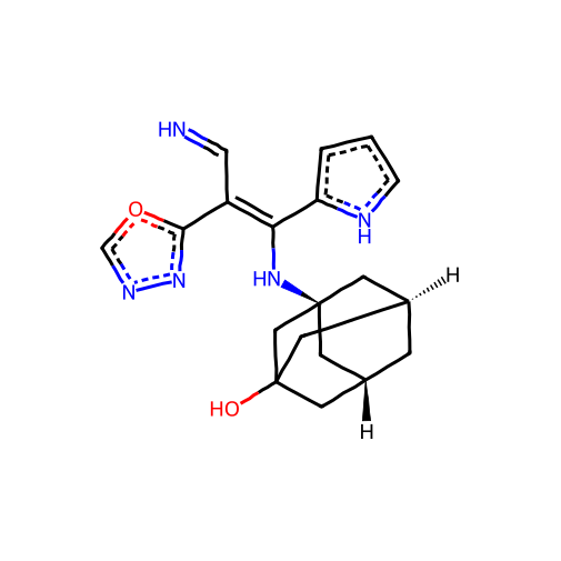 N=C/C(=C(/N[C@@]12C[C@@H]3C[C@@H](CC(O)(C3)C1)C2)c1ccc[nH]1)c1nnco1